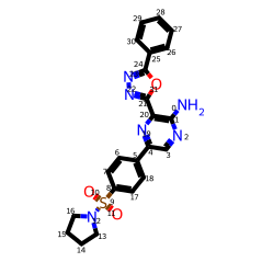 Nc1ncc(-c2ccc(S(=O)(=O)N3CCCC3)cc2)nc1-c1nnc(-c2ccccc2)o1